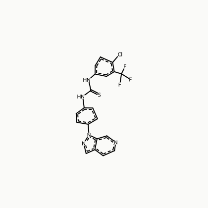 FC(F)(F)c1cc(NC(=S)Nc2ccc(-n3ncc4ccncc43)cc2)ccc1Cl